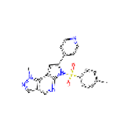 Cc1ccc(S(=O)(=O)n2c(-c3ccncc3)cc3c4c(cnc32)cnn4C)cc1